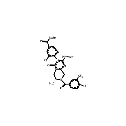 CNC(=O)c1cnc(-n2c(NC(C)C)nc3c(c2=O)C[C@@H](C)N(C(=O)c2ccc(Cl)c(C(F)(F)F)c2)C3)c(Cl)c1